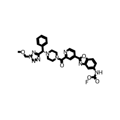 COCn1nnc([C@H](c2ccccc2)N2CCN(C(=O)c3cc(-c4nc5cc(NC(=O)OF)ccc5o4)ccn3)CC2)n1